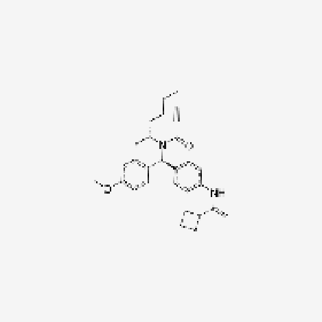 C#CC(=O)N1[C@@H](CCCC)Cc2cc(OC)ccc2[C@@H]1c1ccc(NC(=C)C2CCC2)cc1